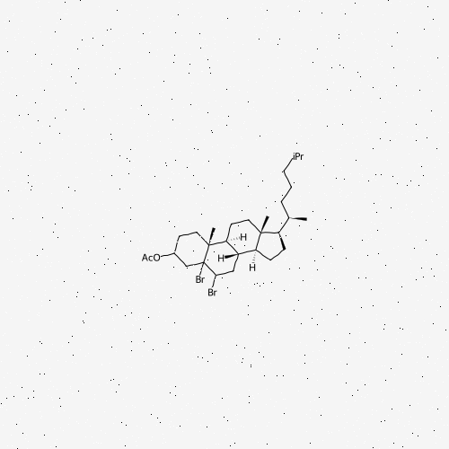 CC(=O)OC1CC[C@]2(C)[C@H]3CC[C@]4(C)[C@@H]([C@H](C)CCCC(C)C)CC[C@H]4[C@@H]3CC(Br)C2(Br)C1